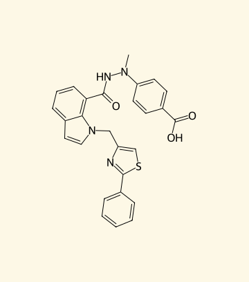 CN(NC(=O)c1cccc2ccn(Cc3csc(-c4ccccc4)n3)c12)c1ccc(C(=O)O)cc1